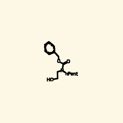 CCCCCN(CCO)C(=O)OCc1ccccc1